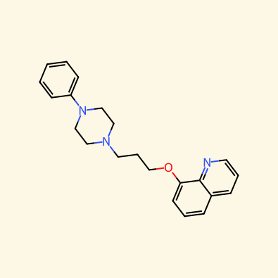 c1ccc(N2CCN(CCCOc3cccc4cccnc34)CC2)cc1